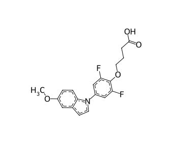 COc1ccc2c(ccn2-c2cc(F)c(OCCCC(=O)O)c(F)c2)c1